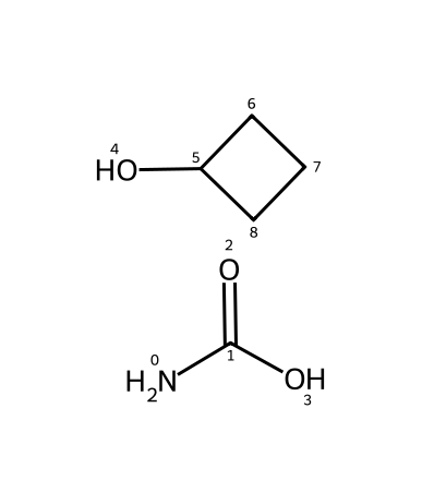 NC(=O)O.OC1CCC1